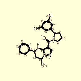 O=C(c1cnn2c1NC(c1ccccc1)CC2C(F)(F)F)N1CCCC1c1cc(Cl)cc(Cl)c1